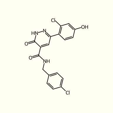 O=C(NCc1ccc(Cl)cc1)c1cc(-c2ccc(O)cc2Cl)n[nH]c1=O